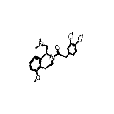 COc1cccc2c1CCN(C(=O)Cc1ccc(Cl)c(Cl)c1)C2CN(C)C